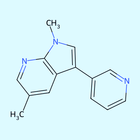 Cc1cnc2c(c1)c(-c1cccnc1)cn2C